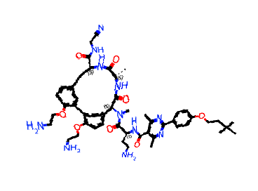 Cc1nc(-c2ccc(OCCC(C)(C)C)cc2)nc(C)c1C(=O)N[C@@H](CCN)C(=O)N(C)[C@@H]1C(=O)N[C@@H](C)C(=O)N[C@H](C(=O)NCC#N)Cc2ccc(OCCN)c(c2)-c2cc1ccc2OCCN